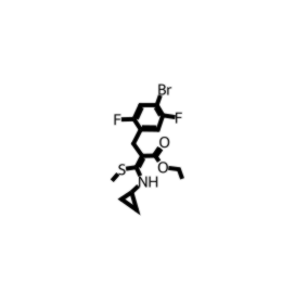 CCOC(=O)C(Cc1cc(F)c(Br)cc1F)=C(NC1CC1)SC